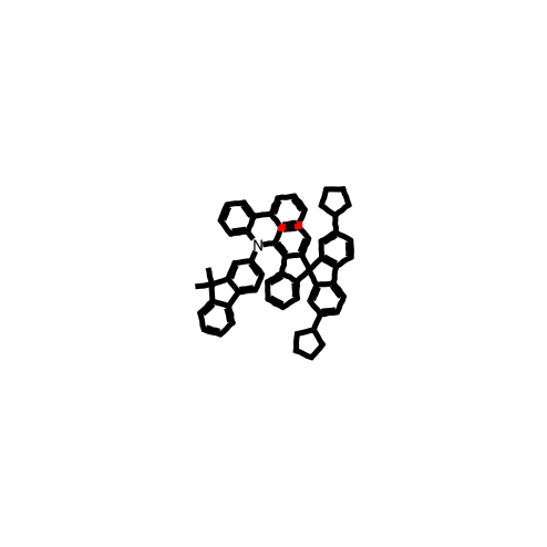 CC1(C)c2ccccc2-c2ccc(N(c3ccccc3-c3ccccc3)c3cccc4c3-c3ccccc3C43c4cc(C5CCCC5)ccc4-c4ccc(C5CCCC5)cc43)cc21